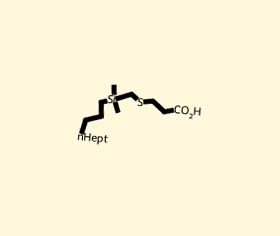 CCCCCCCCCC[Si](C)(C)CSCCC(=O)O